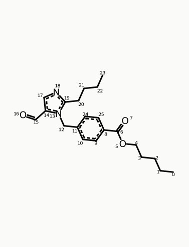 CCCCCOC(=O)c1ccc(Cn2c(C=O)cnc2CCCC)cc1